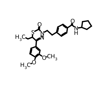 CCC1SC(=O)N(CCc2ccc(C(=O)NC3CCCC3)cc2)N=C1c1ccc(OC)c(OC)c1